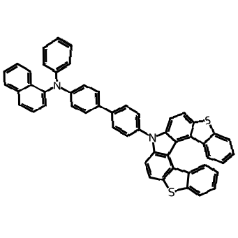 c1ccc(N(c2ccc(-c3ccc(-n4c5ccc6sc7ccccc7c6c5c5c6c(ccc54)sc4ccccc46)cc3)cc2)c2cccc3ccccc23)cc1